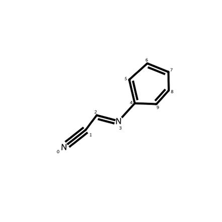 N#C/C=N/c1ccccc1